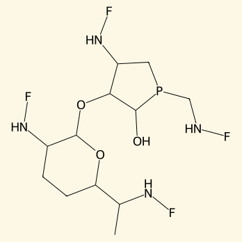 CC(NF)C1CCC(NF)C(OC2C(NF)CP(CNF)C2O)O1